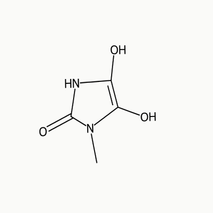 Cn1c(O)c(O)[nH]c1=O